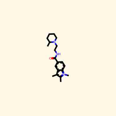 Cc1c(C)n(C)c2ccc(C(=O)NCCN3CCCCC3C)cc12